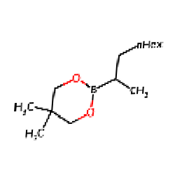 CCCCCCCC(C)B1OCC(C)(C)CO1